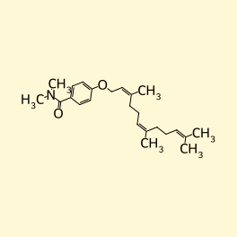 CC(C)=CCCC(C)=CCCC(C)=CCOc1ccc(C(=O)N(C)C)cc1